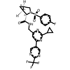 O=C(NCc1cc(-c2cnc(C(F)(F)F)nc2)nc(C2CC2)n1)[C@@H]1[C@H]2C[C@H]2CN1S(=O)(=O)c1ccc(F)cc1